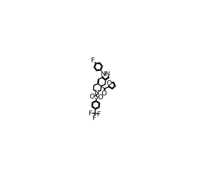 O=C(c1ccco1)[C@]12Cc3cnn(-c4ccc(F)cc4)c3C=C1CCN(S(=O)(=O)c1ccc(C(F)(F)F)cc1)C2